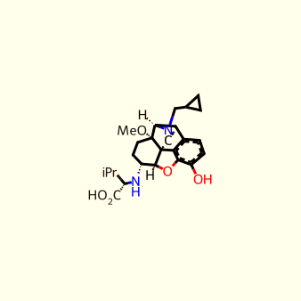 CO[C@@]12CC[C@@H](N[C@H](C(=O)O)C(C)C)[C@@H]3Oc4c(O)ccc5c4[C@@]31CCN(CC1CC1)[C@@H]2C5